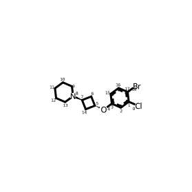 Clc1cc(O[C@H]2C[C@H](N3CCCCC3)C2)ccc1Br